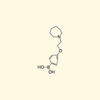 OB(O)c1ccc(OCCN2CCCCCC2)cc1